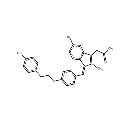 CC1=C(CC(=O)O)c2cc(Br)ccc2/C1=C\c1ccc(CCCc2ccc(O)cc2)cc1